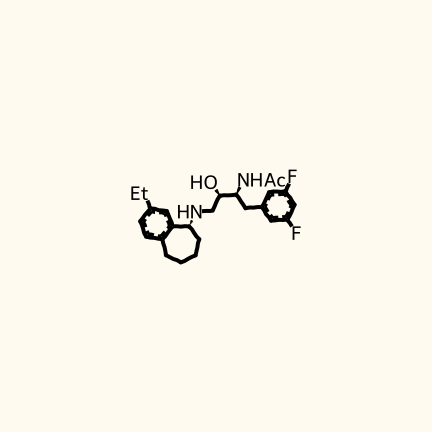 CCc1ccc2c(c1)[C@H](NC[C@@H](O)[C@H](Cc1cc(F)cc(F)c1)NC(C)=O)CCCC2